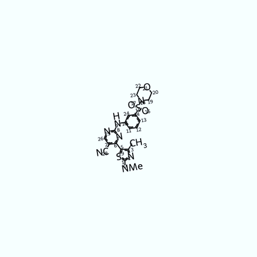 CNc1nc(C)c(-c2nc(Nc3cccc(S(=O)(=O)N4CCOCC4)c3)ncc2C#N)s1